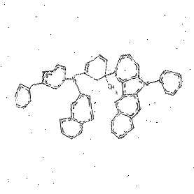 CC1(c2cccc3c2c2cc4ccccc4cc2n3-c2ccccc2)C=CC=C(N(c2cccc(-c3ccccc3)c2)c2ccc3ccccc3c2)C1